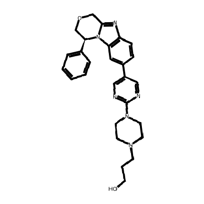 OCCCN1CCN(c2ncc(-c3ccc4nc5n(c4c3)[C@@H](c3ccccc3)COC5)cn2)CC1